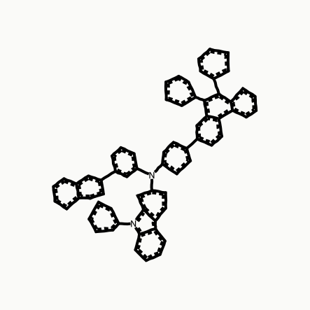 c1ccc(-c2c(-c3ccccc3)c3cc(-c4ccc(N(c5cccc(-c6ccc7ccccc7c6)c5)c5ccc6c7ccccc7n(-c7ccccc7)c6c5)cc4)ccc3c3ccccc23)cc1